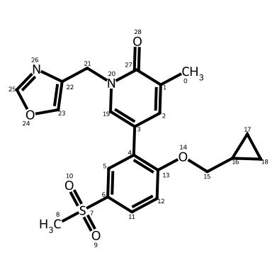 Cc1cc(-c2cc(S(C)(=O)=O)ccc2OCC2CC2)cn(Cc2cocn2)c1=O